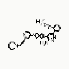 COCOc1ccccc1-c1cc(N2CC3(CN(c4ccnc(C#CCN5CCCCCC5)c4)C3)C2)c(N)nn1